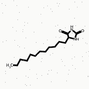 CCCCCCCCCCCCC1NC(=O)NC1=O